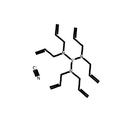 C=CCN(CC=C)[S+](N(CC=C)CC=C)N(CC=C)CC=C.[C-]#N